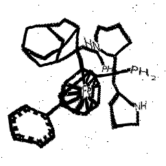 PCC1([C]23[CH]4[C]5(c6ccccc6)[CH]6[C]2(C(P)(C2CCCN2)C2CCCN2)[Fe]64532789[CH]3[CH]2[CH]7[CH]8[CH]39)C2CC3CC(C2)CC1C3